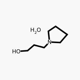 O.OCCCN1CCCC1